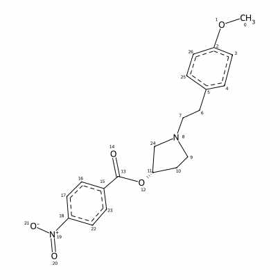 COc1ccc(CCN2CC[C@H](OC(=O)c3ccc([N+](=O)[O-])cc3)C2)cc1